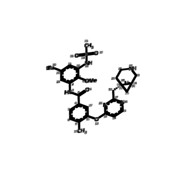 COc1c(NC(=O)c2ccc(C)c(Oc3ccnc(C[C@]45CCNC[C@@H]4C5)n3)c2)cc(C(C)(C)C)cc1NS(C)(=O)=O